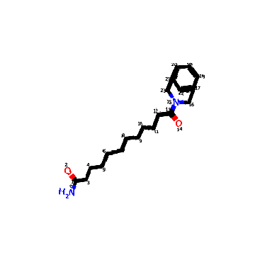 NC(=O)CCCCCCCCCCC(=O)N1Cc2cccc(c2)C1